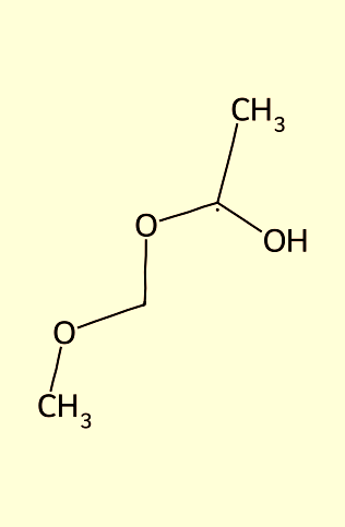 COCO[C](C)O